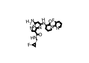 Nc1cc(Nc2cccn(-c3ncccc3F)c2=O)nc2c(C(=O)NC[C@@H]3C[C@@H]3F)cnn12